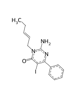 CC/C=C/Cn1c(N)nc(-c2ccccc2)c(I)c1=O